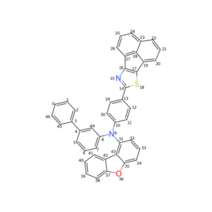 c1ccc(-c2cccc(N(c3ccc(-c4nc5c(s4)-c4cccc6cccc-5c46)cc3)c3cccc4oc5ccccc5c34)c2)cc1